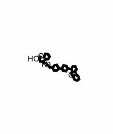 O=C(O)CC(=NOCc1ccc(-c2ccc(-c3cccc4c3oc3ccccc34)cc2)cc1)c1ccccc1